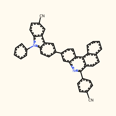 N#Cc1ccc(-c2nc3cc(-c4ccc5c(c4)c4cc(C#N)ccc4n5-c4ccccc4)ccc3c3c2ccc2ccccc23)cc1